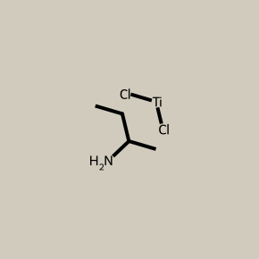 CCC(C)N.[Cl][Ti][Cl]